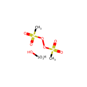 CS(=O)(=O)OOS(C)(=O)=O.O=S(=O)(O)O